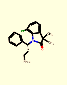 CNCC[C@H](c1ccccc1)N1C(=O)C(C)(C)c2cccc(F)c21